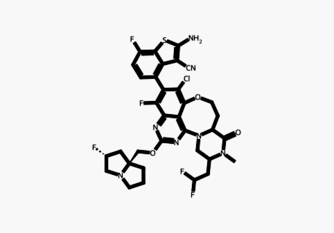 CN1C(=O)C2CCOc3c(Cl)c(-c4ccc(F)c5sc(N)c(C#N)c45)c(F)c4nc(OC[C@@]56CCCN5C[C@H](F)C6)nc(c34)N2CC1CC(F)F